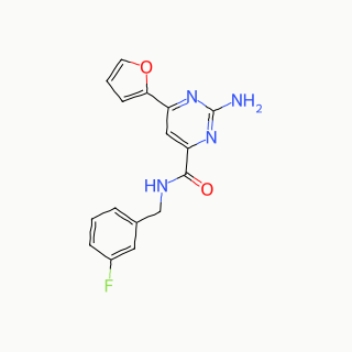 Nc1nc(C(=O)NCc2cccc(F)c2)cc(-c2ccco2)n1